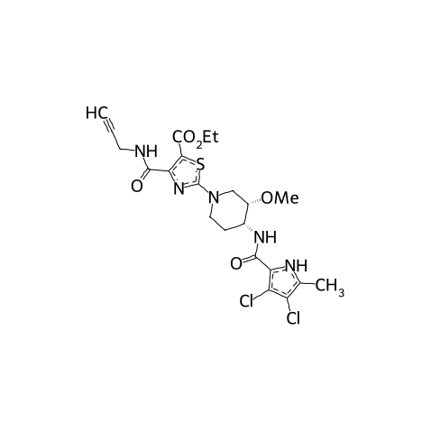 C#CCNC(=O)c1nc(N2CC[C@@H](NC(=O)c3[nH]c(C)c(Cl)c3Cl)[C@@H](OC)C2)sc1C(=O)OCC